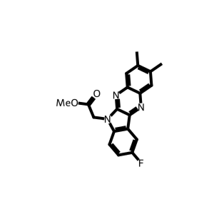 COC(=O)Cn1c2ccc(F)cc2c2nc3cc(C)c(C)cc3nc21